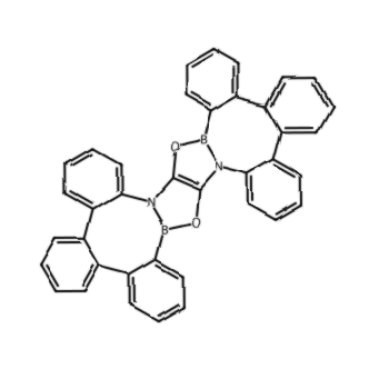 c1ccc2c(c1)B1OC3=C(OB4c5ccccc5-c5ccccc5-c5ccccc5N43)N1c1ccccc1-c1ccccc1-2